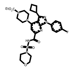 CCOC(=O)N1CCN(c2cc(C(=O)NS(=O)(=O)N3CCOCC3)nc3c2c(C2CCC2)nn3-c2ccc(F)cc2)CC1